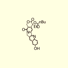 CCCCC(=O)O[C@]1(CC)C(=O)OCc2c1cc1n(c2=O)Cc2cc3cc(O)ccc3nc2-1